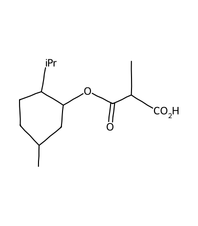 CC1CCC(C(C)C)C(OC(=O)C(C)C(=O)O)C1